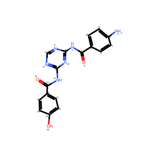 Nc1ccc(C(=O)Nc2ncnc(NC(=O)c3ccc(O)cc3)n2)cc1